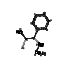 CCOC(=O)N[C@@H](c1ccccc1)[C@H](C)O